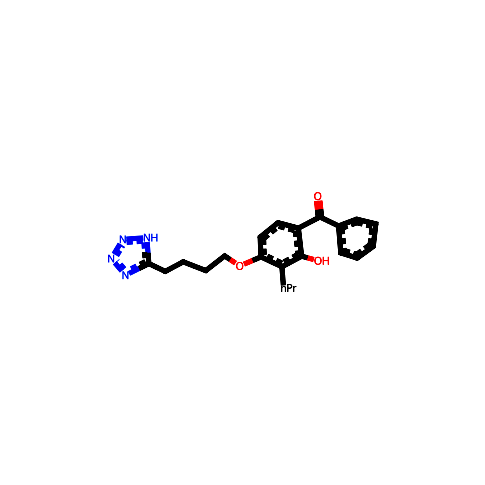 CCCc1c(OCCCCc2nnn[nH]2)ccc(C(=O)c2ccccc2)c1O